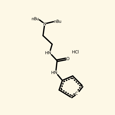 CCCCN(CCCC)CCNC(=O)Nc1ccccc1.Cl